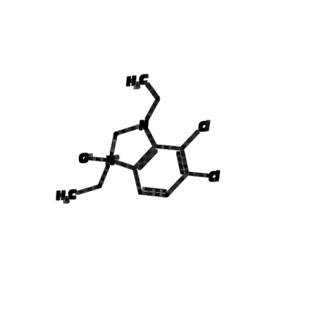 CCN1C[N+]([O-])(CC)c2ccc(Cl)c(Cl)c21